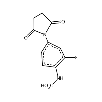 O=C(O)Nc1ccc(N2C(=O)CCC2=O)cc1F